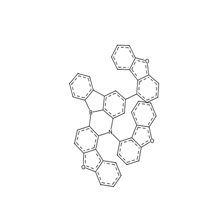 c1ccc2c(c1)B1c3ccc4oc5ccccc5c4c3N(c3cccc4oc5ccccc5c34)c3cc(-c4cccc5oc6ccccc6c45)cc-2c31